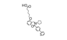 O=C(O)CCCCCOc1ccccc1CN(C(=O)c1ccc(-c2cccs2)cc1)C1CCCC1